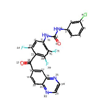 O=C(Nc1cccc(Cl)c1)Nc1cc(F)c(C(=O)c2ccc3nccnc3c2)c(F)c1F